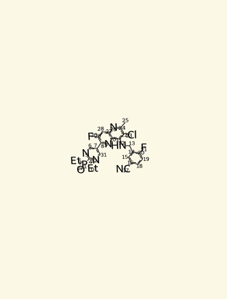 CCP(=O)(CC)c1ncc(-c2nc3c(NCc4cc(C#N)ccc4F)c(Cl)c(C)nc3cc2F)cn1